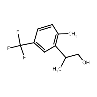 C[C](CO)c1cc(C(F)(F)F)ccc1C